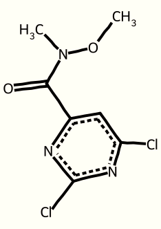 CON(C)C(=O)c1cc(Cl)nc(Cl)n1